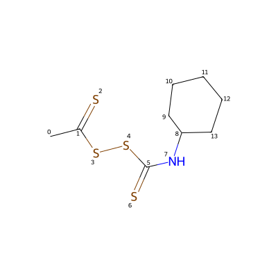 CC(=S)SSC(=S)NC1CCCCC1